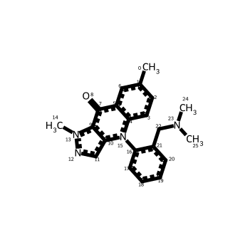 Cc1ccc2c(c1)c(=O)c1c(cnn1C)n2-c1ccccc1CN(C)C